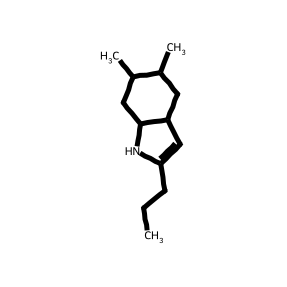 CCCC1=CC2CC(C)C(C)CC2N1